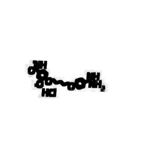 CNC(=O)c1ccc(OCCCCCOc2ccc(C(=N)N)cc2)c(OC)c1.Cl